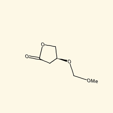 COCO[C@@H]1COC(=O)C1